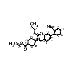 CCCCC(=O)N(Cc1ccc(-c2ccccc2C#N)cc1)C1CCC(C(=O)OCC)CC1